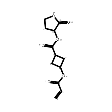 C=CC(=O)OC1CC(C(=O)OC2CCOC2=O)C1